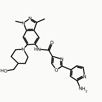 Cc1nn(C)c2cc(N3CCC(CO)CC3)c(NC(=O)c3coc(-c4ccnc(N)c4)n3)cc12